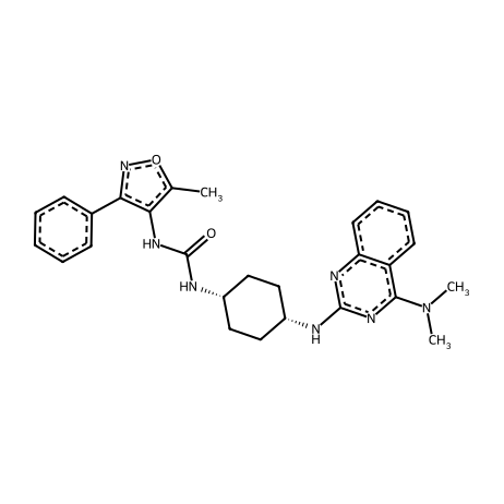 Cc1onc(-c2ccccc2)c1NC(=O)N[C@H]1CC[C@@H](Nc2nc(N(C)C)c3ccccc3n2)CC1